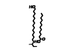 CCC(C)CCCCCCCCCCCCCCCO.CCCCCCCCCCCC(=O)O